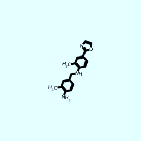 Cc1cc(CNc2ccc(-c3ncco3)cc2C)ccc1N